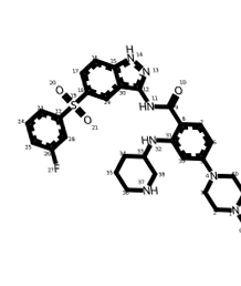 CN1CCN(c2ccc(C(=O)Nc3n[nH]c4ccc(S(=O)(=O)c5cccc(F)c5)cc34)c(NC3CCCNC3)c2)CC1